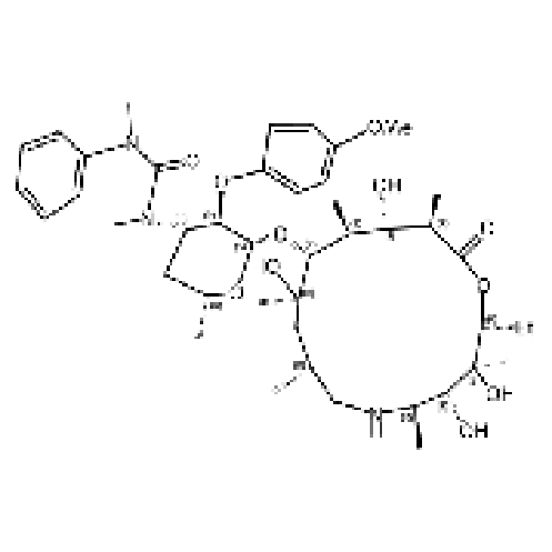 CC[C@H]1OC(=O)[C@H](C)[C@@H](O)[C@H](C)[C@@H](O[C@@H]2O[C@H](C)C[C@H](N(C)C(=O)N(C)c3ccccc3)[C@H]2Oc2ccc(OC)cc2)[C@](C)(O)C[C@@H](C)CN[C@H](C)[C@@H](O)[C@]1(C)O